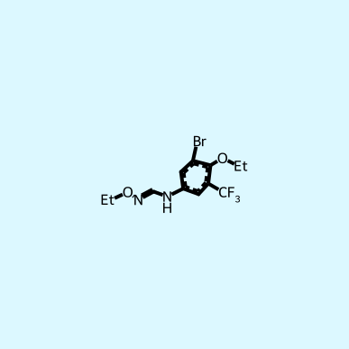 CCO/N=C/Nc1cc(Br)c(OCC)c(C(F)(F)F)c1